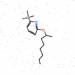 CCCCCCC(C)Oc1cccc([Si](C)(C)C)n1